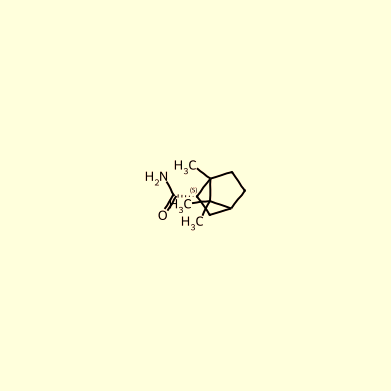 CC1(C)C2CCC1(C)[C@@H](C(N)=O)C2